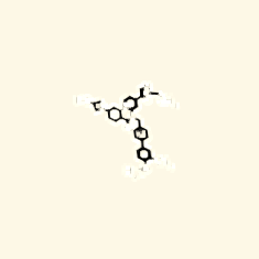 CCc1ncc(-c2ccnc(N(CC34CCC(c5ccc(OC)c(C)c5)(CC3)CC4)C(=O)C3CCC(N4CC(O)C4)CC3)c2)s1